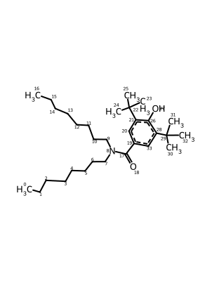 CCCCCCCCN(CCCCCCCC)C(=O)c1cc(C(C)(C)C)c(O)c(C(C)(C)C)c1